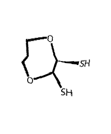 SC1OCCO[C@H]1S